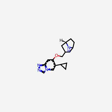 c1c(OCC2CC3CC[C@@H](C2)N3)c(C2CC2)cn2cnnc12